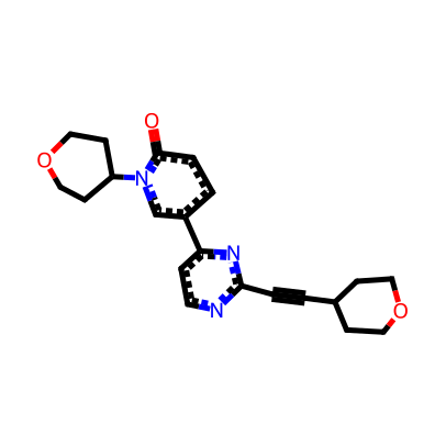 O=c1ccc(-c2ccnc(C#CC3CCOCC3)n2)cn1C1CCOCC1